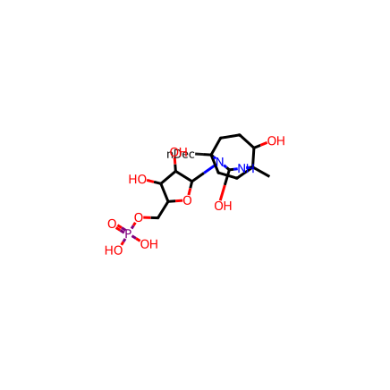 CCCCCCCCCCC12CCC(O)C(C)(CC1)NC(O)N2C1OC(COP(=O)(O)O)C(O)C1O